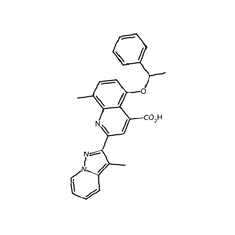 Cc1ccc(OC(C)c2ccccc2)c2c(C(=O)O)cc(-c3nn4ccccc4c3C)nc12